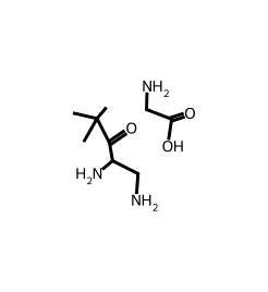 CC(C)(C)C(=O)C(N)CN.NCC(=O)O